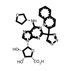 O=C(O)[C@H]1O[C@@H](n2cnc3c(N[C@@H]4CCOC4)nc(C4(c5ccc6ccccc6n5)C=NN=N4)nc32)[C@@H](O)[C@H]1O